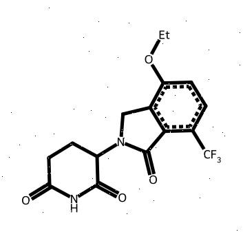 CCOc1ccc(C(F)(F)F)c2c1CN(C1CCC(=O)NC1=O)C2=O